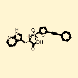 O=C(O)[C@H](Cc1c[nH]c2ncccc12)NS(=O)(=O)c1ccc(C#Cc2ccccc2)s1